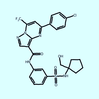 O=C(Nc1cccc(S(=O)(=O)NC2(CO)CCCC2)c1)c1cnn2c(C(F)(F)F)cc(-c3ccc(Cl)cc3)nc12